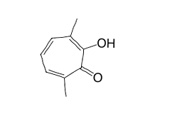 Cc1cccc(C)c(=O)c1O